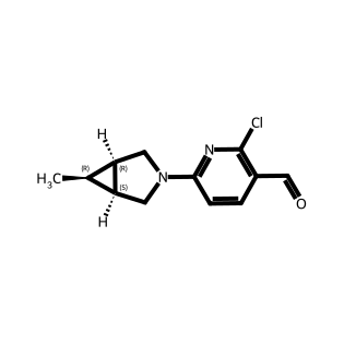 C[C@H]1[C@H]2CN(c3ccc(C=O)c(Cl)n3)C[C@@H]12